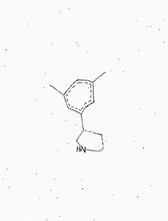 Cc1cc(C)cc(C2CCNC2)c1